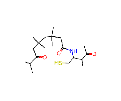 CC(=O)C(C)C(CS)NC(=O)CC(C)(C)CC(C)(C)CC(=O)C(C)C